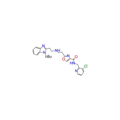 CCCCn1c(CCNCCc2nc(C(=O)NCc3ncccc3Cl)co2)nc2ccccc21